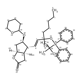 CCCCCC(C)(/C=C/[C@@H]1[C@H]2CC(=O)O[C@H]2C[C@H]1OC1CCCCO1)O[Si](c1ccccc1)(c1ccccc1)C(C)(C)C